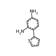 Nc1ccc(-c2cccs2)c(N)c1